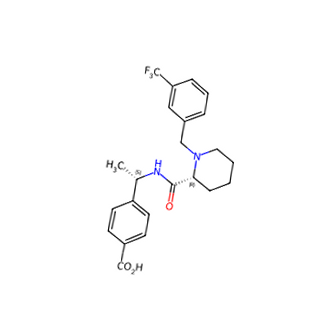 C[C@H](NC(=O)[C@H]1CCCCN1Cc1cccc(C(F)(F)F)c1)c1ccc(C(=O)O)cc1